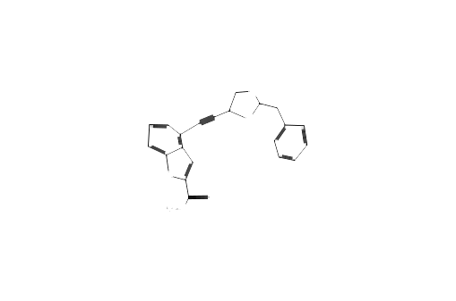 COC(=O)c1cc2c(C#CC3COC(Cc4ccccc4)O3)cccc2s1